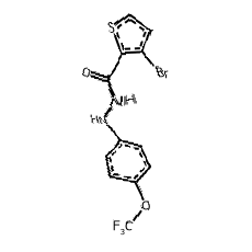 O=C(NNc1ccc(OC(F)(F)F)cc1)c1sccc1Br